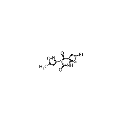 CCc1cc2c(=O)n(-c3cc(C)on3)c(=O)[nH]c2s1